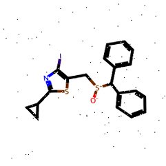 [O-][S+](Cc1sc(C2CC2)nc1I)C(c1ccccc1)c1ccccc1